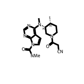 CNC(=O)n1ccc2c(N(C)[C@H]3CN(C(=O)CC#N)CC[C@H]3C)ncnc21